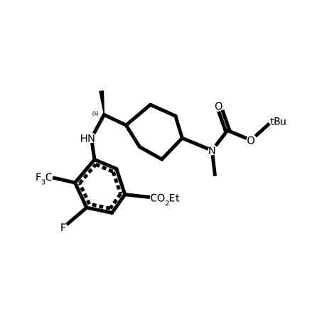 CCOC(=O)c1cc(F)c(C(F)(F)F)c(N[C@@H](C)C2CCC(N(C)C(=O)OC(C)(C)C)CC2)c1